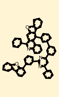 c1ccc(-c2cc(-c3cccc(-c4cccc(-c5c6c(cc7c(-c8ccccc8)nc8ccccc8c57)oc5ccccc56)c4)c3)nc(-c3cccc(-c4cccc5c4oc4ccccc45)c3)n2)cc1